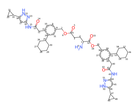 NC(CCC(=O)OCc1ccc(CC(=O)Nc2cc(C3CC3)[nH]n2)c(C2CCCCC2)c1)C(=O)OCc1ccc(CC(=O)Nc2cc(C3CC3)[nH]n2)c(C2CCCCC2)c1